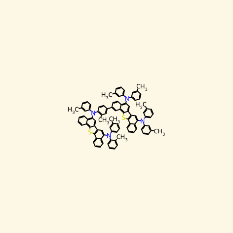 Cc1cccc(N(c2cccc(C)c2)c2cc3c4cc(N(c5cccc(C)c5)c5cccc(C)c5)c5ccc(-c6ccc(N(c7cccc(C)c7)c7cc8c9cc(N(c%10cccc(C)c%10)c%10ccccc%10C)c%10ccccc%10c9sc8c8ccccc78)c(C)c6)cc5c4sc3c3ccccc23)c1